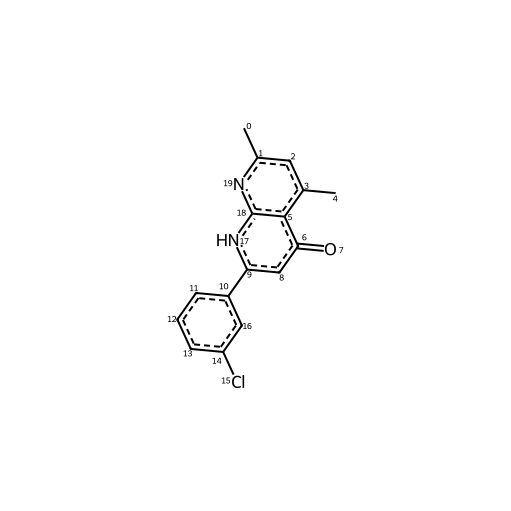 Cc1cc(C)c2c(=O)cc(-c3cccc(Cl)c3)[nH]c2n1